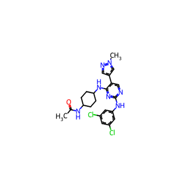 CC(=O)NC1CCC(Nc2nc(Nc3cc(Cl)cc(Cl)c3)ncc2-c2cnn(C)c2)CC1